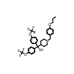 CCCOc1ccc(CN2CCC(C(S)(c3ccc(OC(F)(F)F)cc3)c3ccc(OC(F)(F)F)cc3)CC2)cc1